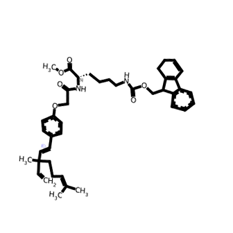 C=CC(C)(/C=C/c1ccc(OCC(=O)N[C@@H](CCCCNC(=O)OCC2C3=C(C=CCC3)c3ccccc32)C(=O)OC)cc1)CCC=C(C)C